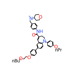 CCCCOCCOc1ccc(-c2ccc3c(c2)C=C(C(=O)Nc2ccc(CN(C)C4CCOCC4)cc2)CCN3c2ccc(OCCC)cc2)cc1